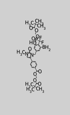 Bc1cc(Cn2c(-c3ccc(C(=O)OCOC(=O)C(C)(C)C)cc3)cn(C)c2=O)ccc1C(F)(F)P(=O)(O)OCOC(=O)C(C)(C)C